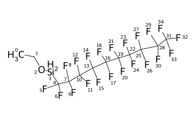 CCO[SiH2]C(F)(F)C(F)(F)C(F)(F)C(F)(F)C(F)(F)C(F)(F)C(F)(F)C(F)(F)C(F)(F)C(F)(F)F